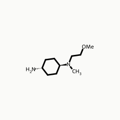 COCCN(C)[C@H]1CC[C@H](N)CC1